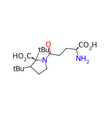 CC(C)(C)C1CCN(C(=O)CC[C@H](N)C(=O)O)[C@@]1(C(=O)O)C(C)(C)C